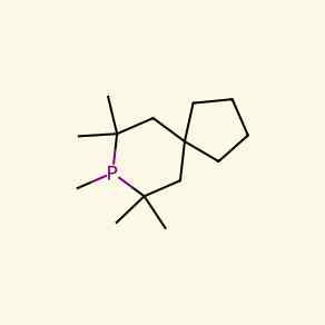 CP1C(C)(C)CC2(CCCC2)CC1(C)C